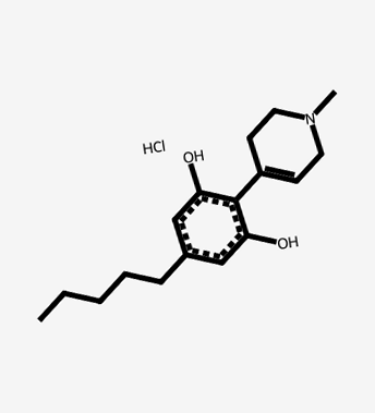 CCCCCc1cc(O)c(C2=CCN(C)CC2)c(O)c1.Cl